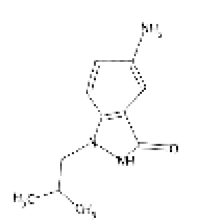 CC(C)Cn1[nH]c(=O)c2cc(N)ccc21